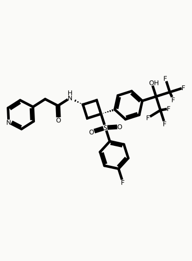 O=C(Cc1ccncc1)N[C@H]1C[C@](c2ccc(C(O)(C(F)(F)F)C(F)(F)F)cc2)(S(=O)(=O)c2ccc(F)cc2)C1